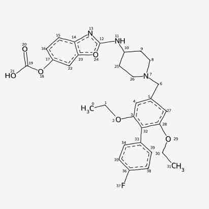 CCOc1cc(CN2CCC(Nc3nc4ccc(OC(=O)O)cc4o3)CC2)cc(OCC)c1-c1ccc(F)cc1